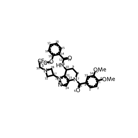 COc1ccc(C(=O)N2CCC(NC(=O)c3ccccc3OC(F)(F)F)c3c2cnn3C2CN(CC(F)(F)F)C2)cc1OC